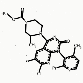 Cc1ccnc(C(C)C)c1-n1c(=O)nc(N2CCN(C(=O)OC(C)(C)C)CC2C)c2cc(F)c(Cl)nc21